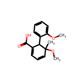 COc1ccccc1C1C(C(=O)O)=CC=CC1(C)OC